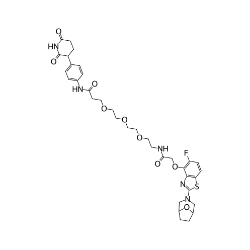 O=C(COc1c(F)ccc2sc(N3CC4CCC(C3)O4)nc12)NCCOCCOCCOCCC(=O)Nc1ccc(C2CCC(=O)NC2=O)cc1